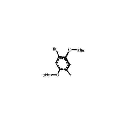 CCCCCCOc1cc(I)c(OCCCCCC)cc1Br